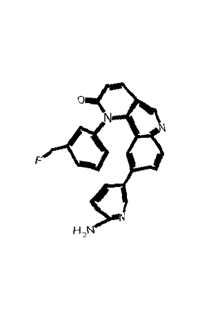 Nc1ccc(-c2ccc3ncc4ccc(=O)n(-c5cccc(CF)c5)c4c3c2)cn1